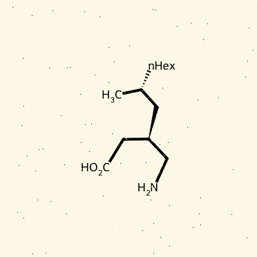 CCCCCC[C@@H](C)C[C@@H](CN)CC(=O)O